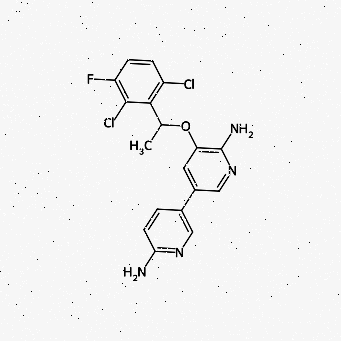 CC(Oc1cc(-c2ccc(N)nc2)cnc1N)c1c(Cl)ccc(F)c1Cl